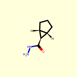 NNC(=O)[C@H]1[C@@H]2CCC[C@@H]21